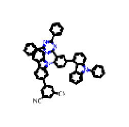 N#Cc1cc(C#N)cc(-c2ccc3c4ccccc4n(-c4ccc(-c5cccc6c5c5ccccc5n6-c5ccccc5)cc4-c4nc(-c5ccccc5)nc(-c5ccccc5)n4)c3c2)c1